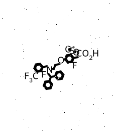 CS(=O)(=O)c1cc(OCCCN(Cc2cccc(C(F)(F)F)c2F)CC(c2ccccc2)c2ccccc2)cc(F)c1CC(=O)O